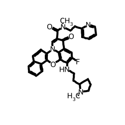 CN(CCc1ccccn1)C(=O)c1cn2c3c(c(NCCC4CCCN4C)c(F)cc3c1=O)Oc1c-2ccc2ccccc12